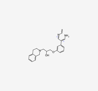 C=C/N=C\C(=C/N)c1cccc(OCC(O)CN2CCc3ccccc3C2)c1